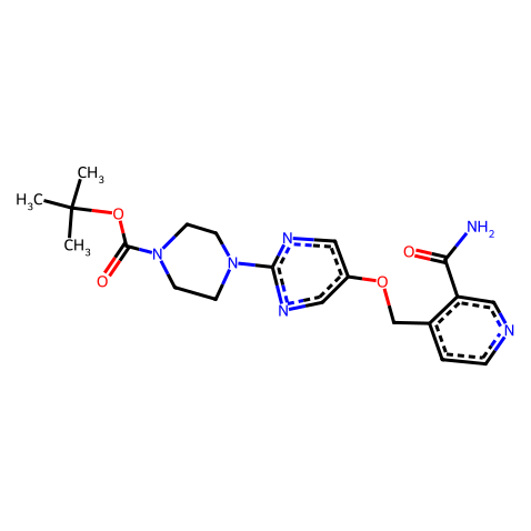 CC(C)(C)OC(=O)N1CCN(c2ncc(OCc3ccncc3C(N)=O)cn2)CC1